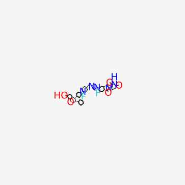 O=C1CCC(N2Cc3cc(N4CCN(CC5CCN(c6ccc([C@@H]7c8ccc(O)cc8OC[C@@H]7c7ccccc7)cc6F)CC5)CC4)c(F)cc3C2=O)C(=O)N1